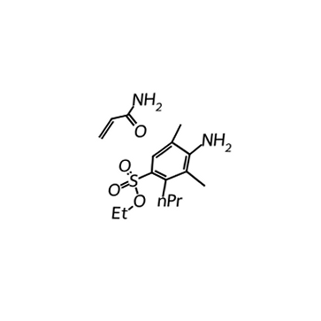 C=CC(N)=O.CCCc1c(S(=O)(=O)OCC)cc(C)c(N)c1C